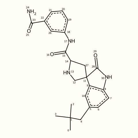 CC(C)(C)Cc1ccc2c(c1)C1(CNC(C(=O)Nc3cccc(C(N)=O)c3)C1)C(=O)N2